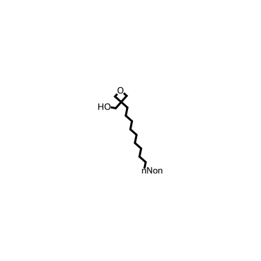 CCCCCCCCCCCCCCCCCCC1(CO)COC1